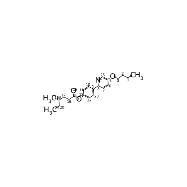 CCCCOc1ccc(-c2ccc(OC(=O)CCC(C)CC)cc2)nc1